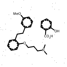 COc1cccc(CCc2ccccc2OCCCN(C)C)c1.O=C(O)c1ccccc1O